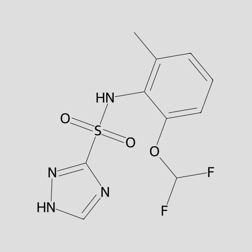 Cc1cccc(OC(F)F)c1NS(=O)(=O)c1nc[nH]n1